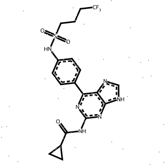 O=C(Nc1nc(-c2ccc(NS(=O)(=O)CCCC(F)(F)F)cc2)c2nc[nH]c2n1)C1CC1